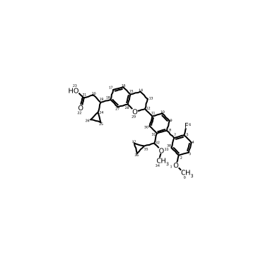 COc1ccc(F)c(-c2ccc(C3CCc4ccc(C(CC(=O)O)C5CC5)cc4O3)cc2C(OC)C2CC2)c1